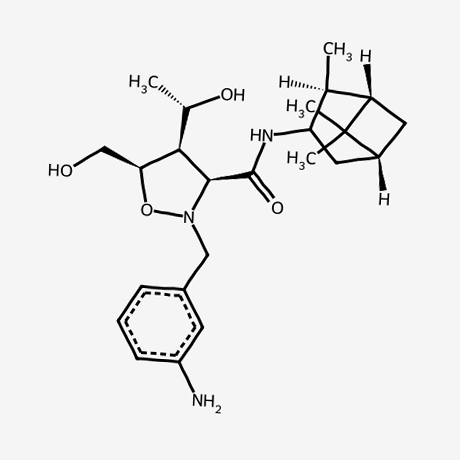 C[C@H](O)[C@@H]1[C@H](CO)ON(Cc2cccc(N)c2)[C@@H]1C(=O)NC1C[C@H]2C[C@@H]([C@@H]1C)C2(C)C